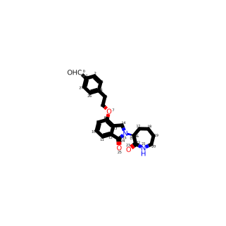 O=Cc1ccc(CCOc2cccc3c2CN([C@H]2CCCCNC2=O)C3=O)cc1